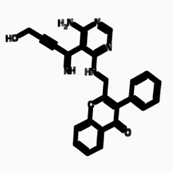 N=C(C#CCO)c1c(N)ncnc1NCc1oc2ccccc2c(=O)c1-c1ccccc1